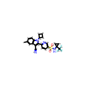 Cc1ccc2c(c1)c(C#N)c(-c1ccc(S(=O)(=O)NC3(C(F)(F)F)CC3)cn1)n2C1CCC1